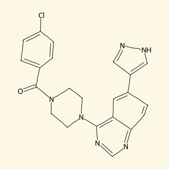 O=C(c1ccc(Cl)cc1)N1CCN(c2ncnc3ccc(-c4cn[nH]c4)cc23)CC1